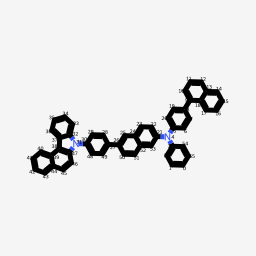 c1ccc(N(c2ccc(-c3cccc4ccccc34)cc2)c2ccc3cc(-c4ccc(-n5c6ccccc6c6c7ccccc7ccc65)cc4)ccc3c2)cc1